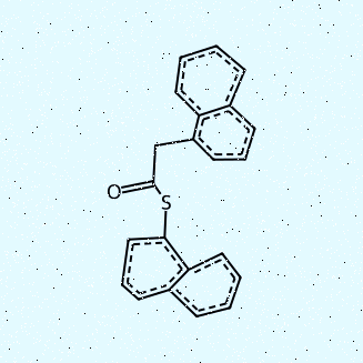 O=C(Cc1cccc2ccccc12)Sc1cccc2ccccc12